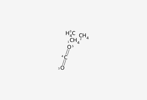 C.C.C.O=C=O